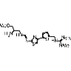 CNC(=NC#N)NCc1ccc(-c2csc(N=CNCC(N)COC)n2)o1